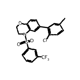 Cc1ccc(Cl)c(-c2ccc3c(c2)N(S(=O)(=O)c2cccc(C(F)(F)F)c2)CCO3)c1